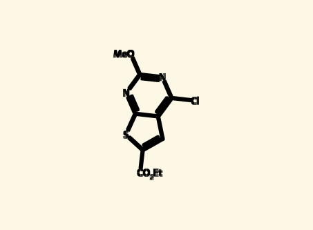 CCOC(=O)c1cc2c(Cl)nc(OC)nc2s1